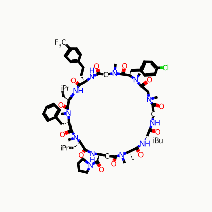 CC[C@H](C)[C@@H]1NC(=O)[C@H](C)N(C)C(=O)C[C@@H](C(=O)N2CCCC2)NC(=O)[C@H](CC(C)C)N(C)C(=O)[C@H](Cc2ccccc2)N(C)C(=O)[C@H](CC(C)C)NC(=O)[C@H](CCc2ccc(C(F)(F)F)cc2)NC(=O)CN(C)C(=O)[C@H](Cc2ccc(Cl)cc2)N(C)C(=O)CN(C)C(=O)CNC1=O